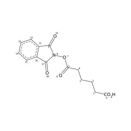 O=C(O)CCCCC(=O)ON1C(=O)c2ccccc2C1=O